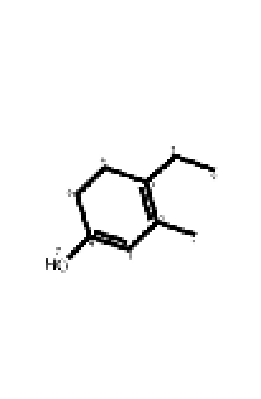 CCC1=C(C)C=C(O)CC1